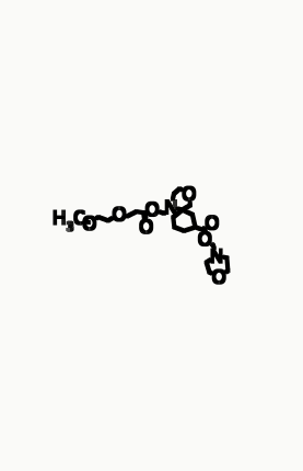 COCCOCCC(=O)OCN1CCOCC12CCCC(C(=O)OCN1CCOCC1)C2